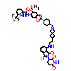 COc1cc2nc([C@H]3CC[C@H](CN4CC5(CC(CCNc6cccc7c6C(=O)N(C6CCC(=O)NC6=O)C7=O)C5)C4)CC3)oc2cc1NC(=O)c1cccc(C(F)(F)F)n1